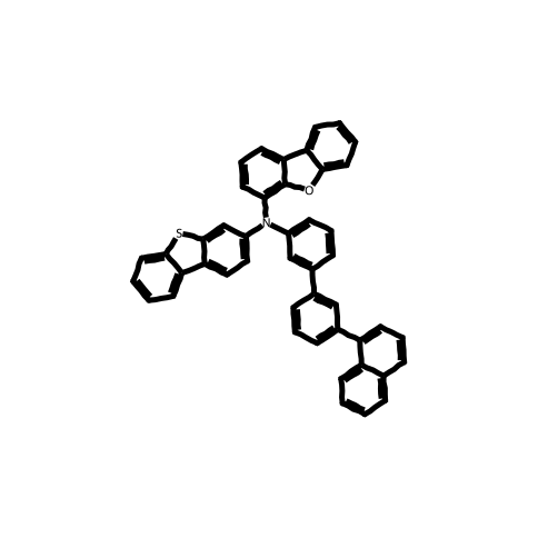 c1cc(-c2cccc(N(c3ccc4c(c3)sc3ccccc34)c3cccc4c3oc3ccccc34)c2)cc(-c2cccc3ccccc23)c1